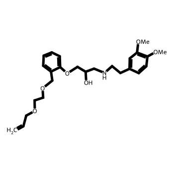 C=CCOCCOCc1ccccc1OCC(O)CNCCc1ccc(OC)c(OC)c1